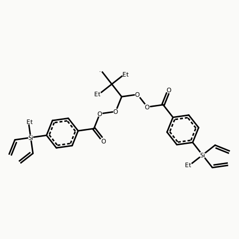 [CH2]C(CC)(CC)[C](OOC(=O)c1ccc([Si](C=C)(C=C)CC)cc1)OOC(=O)c1ccc([Si](C=C)(C=C)CC)cc1